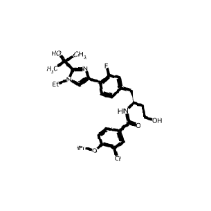 CCn1cc(-c2ccc(C[C@@H](CCO)NC(=O)c3ccc(OC(C)C)c(Cl)c3)cc2F)nc1C(C)(C)O